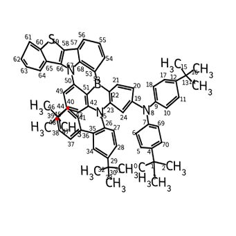 CC(C)(C)c1ccc(N(c2ccc(C(C)(C)C)cc2)c2ccc3c(c2)N(c2ccc(C(C)(C)C)cc2-c2ccccc2)c2cc(C(C)(C)C)cc4c2B3c2cccc3c5sc6ccccc6c5n-4c23)cc1